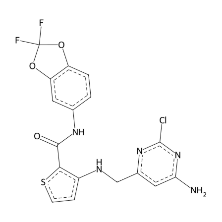 Nc1cc(CNc2ccsc2C(=O)Nc2ccc3c(c2)OC(F)(F)O3)nc(Cl)n1